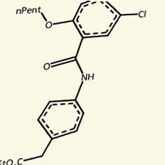 CCCCCOc1ccc(Cl)cc1C(=O)Nc1ccc(CC(=O)OCC)cc1